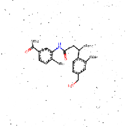 CCCCCC(CC(=O)Nc1cc(C(=O)NC)ccc1C(C)(C)C)c1ccc(CO)cc1OC